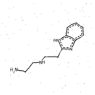 NCCNCCc1nc2ccccc2[nH]1